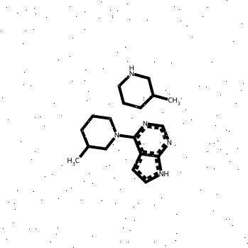 CC1CCCN(c2ncnc3[nH]ccc23)C1.CC1CCCNC1